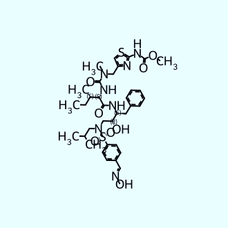 CC[C@H](C)[C@H](NC(=O)N(C)Cc1csc(NC(=O)OC)n1)C(=O)N[C@@H](Cc1ccccc1)[C@H](O)CN(CC(C)C)S(=O)(=O)c1ccc(C=NO)cc1